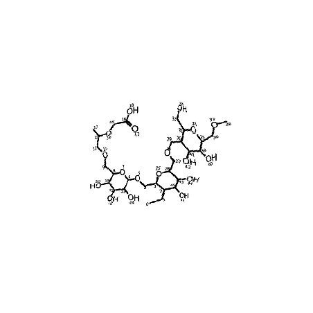 CCC1C(COC2OC(COCC(C)OCC(=O)O)C(O)C(O)C2O)OC(COCC2C(CO)OC(COC)C(O)C2O)C(O)C1O